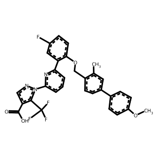 COc1ccc(-c2ccc(COc3ccc(F)cc3-c3cccc(-n4ncc(C(=O)O)c4C(F)(F)F)n3)c(C)c2)cc1